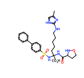 Cc1c[nH]c(NCCCCCC(NC(=O)C2CCON2)(NS(=O)(=O)c2ccc(-c3ccccc3)cc2)C(=O)O)n1